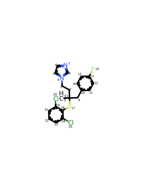 CC(CCn1ccnc1)(Cc1ccc(F)cc1)Sc1c(Cl)cccc1Cl